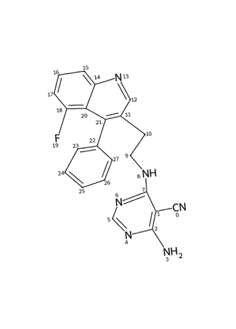 N#Cc1c(N)ncnc1NCCc1cnc2cccc(F)c2c1-c1ccccc1